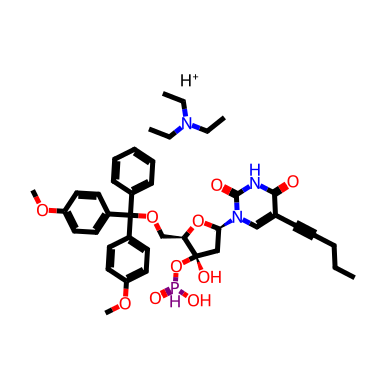 CCCC#Cc1cn([C@H]2C[C@](O)(O[PH](=O)O)[C@@H](COC(c3ccccc3)(c3ccc(OC)cc3)c3ccc(OC)cc3)O2)c(=O)[nH]c1=O.CCN(CC)CC.[H+]